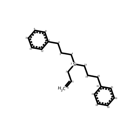 C=CC[Si](CCCc1ccccc1)CCCc1ccccc1